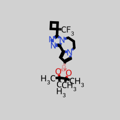 CC1(C)OB(c2cc3n(c2)CCCn2c-3nnc2C2(C(F)(F)F)CCC2)OC1(C)C